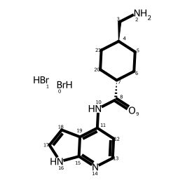 Br.Br.NC[C@H]1CC[C@H](C(=O)Nc2ccnc3[nH]ccc23)CC1